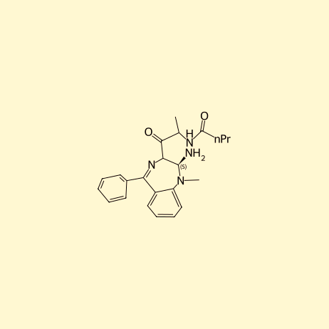 CCCC(=O)NC(C)C(=O)C1N=C(c2ccccc2)c2ccccc2N(C)[C@@H]1N